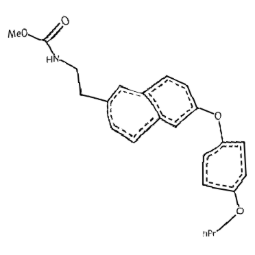 CCCOc1ccc(Oc2ccc3cc(CCNC(=O)OC)ccc3c2)cc1